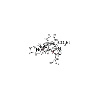 CCOC(=O)c1ccc2nc(N3C4CCC3CC(OCc3c(-c5ccccc5C(F)(F)F)noc3C3CC3)C4)sc2c1